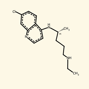 CCNCCC[C@@H](C)Nc1ccnc2cc(Cl)ccc12